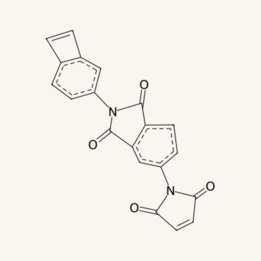 O=C1C=CC(=O)N1c1ccc2c(c1)C(=O)N(c1ccc3c(c1)C=C3)C2=O